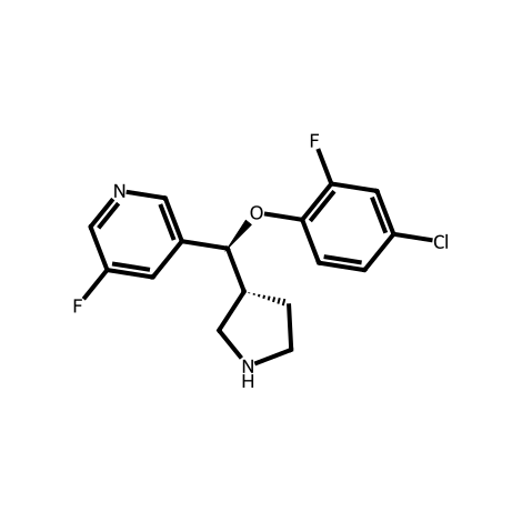 Fc1cncc([C@@H](Oc2ccc(Cl)cc2F)[C@@H]2CCNC2)c1